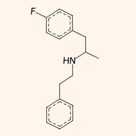 CC(Cc1ccc(F)cc1)NCCc1ccccc1